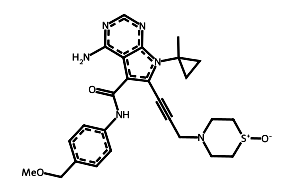 COCc1ccc(NC(=O)c2c(C#CCN3CC[S+]([O-])CC3)n(C3(C)CC3)c3ncnc(N)c23)cc1